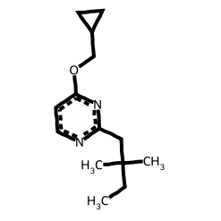 CCC(C)(C)Cc1nccc(OCC2CC2)n1